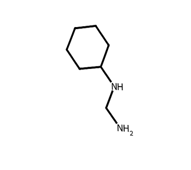 NCNC1CCCCC1